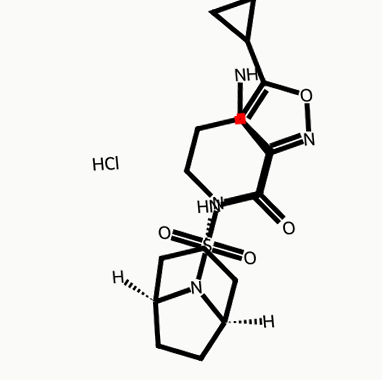 Cl.NC1CCN(S(=O)(=O)N2[C@@H]3CC[C@H]2C[C@H](NC(=O)c2cc(C4CC4)on2)C3)CC1